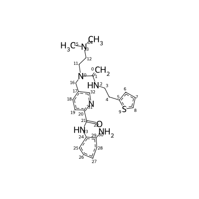 C=C(NCCc1cccs1)N(CCN(C)C)Cc1ccc(C(=O)Nc2ccccc2N)nc1